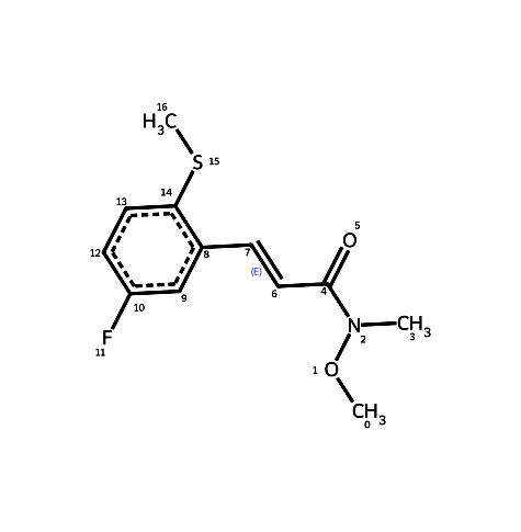 CON(C)C(=O)/C=C/c1cc(F)ccc1SC